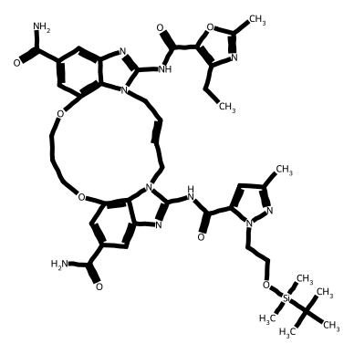 CCc1nc(C)oc1C(=O)Nc1nc2cc(C(N)=O)cc3c2n1C/C=C/Cn1c(NC(=O)c2cc(C)nn2CCO[Si](C)(C)C(C)(C)C)nc2cc(C(N)=O)cc(c21)OCCCO3